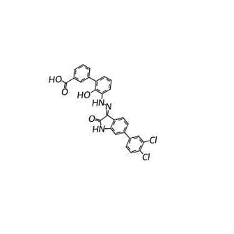 O=C1Nc2cc(-c3ccc(Cl)c(Cl)c3)ccc2C1=NNc1cccc(-c2cccc(C(=O)O)c2)c1O